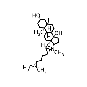 CN(C)CCCCON(C)[C@H]1CC[C@]2(O)[C@@H]3CC[C@@H]4C[C@@H](O)CC[C@]4(C)[C@H]3CC[C@]12C